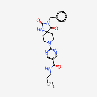 CCCNC(=O)c1cnc(N2CCC3(CC2)NC(=O)N(Cc2ccccc2)C3=O)nc1